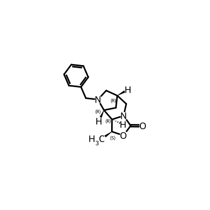 C[C@@H]1OC(=O)N2C[C@@H]3C[C@H]([C@H]12)N(Cc1ccccc1)C3